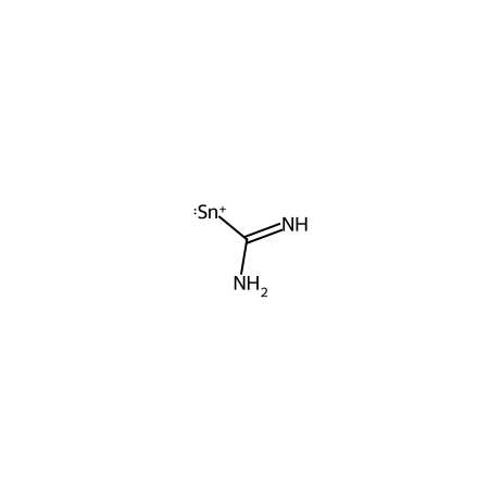 N=[C](N)[Sn+]